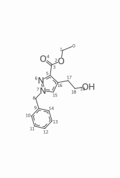 CCOC(=O)c1nn(Cc2ccccc2)cc1CCO